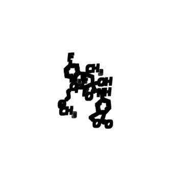 COCCOc1ccc(F)cc1C(C)(C)CC(O)(C(=O)Nc1ccc2c(c1)COC2=O)C(F)(F)F